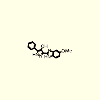 COc1ccc2[nH]c(-c3n[nH]c(-c4ccccc4)c3O)nc2c1